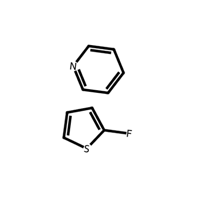 Fc1cccs1.c1ccncc1